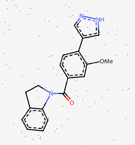 COc1cc(C(=O)N2CCc3ccccc32)ccc1-c1cn[nH]c1